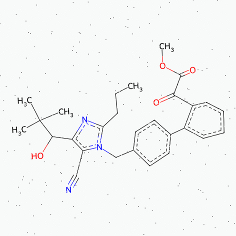 CCCc1nc(C(O)C(C)(C)C)c(C#N)n1Cc1ccc(-c2ccccc2C(=O)C(=O)OC)cc1